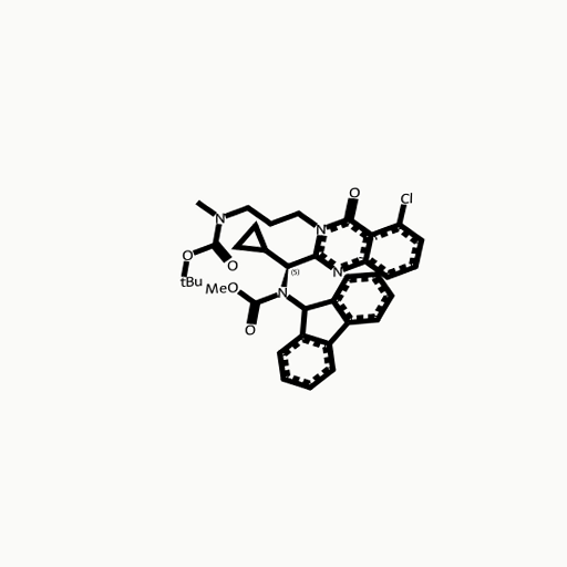 COC(=O)N(C1c2ccccc2-c2ccccc21)[C@H](c1nc2cccc(Cl)c2c(=O)n1CCCN(C)C(=O)OC(C)(C)C)C1CC1